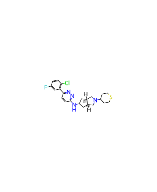 Fc1ccc(Cl)c(-c2ccc(NC3C[C@@H]4CN(C5CCSCC5)C[C@@H]4C3)nn2)c1